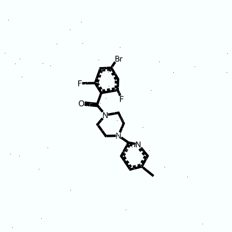 Cc1ccc(N2CCN(C(=O)c3c(F)cc(Br)cc3F)CC2)nc1